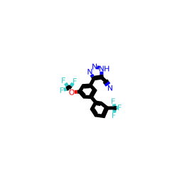 N#Cc1[nH]nnc1-c1cc(OC(F)(F)F)cc(-c2cccc(C(F)(F)F)c2)c1